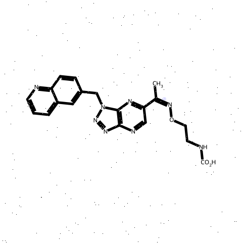 C/C(=N/OCCNC(=O)O)c1cnc2nnn(Cc3ccc4ncccc4c3)c2n1